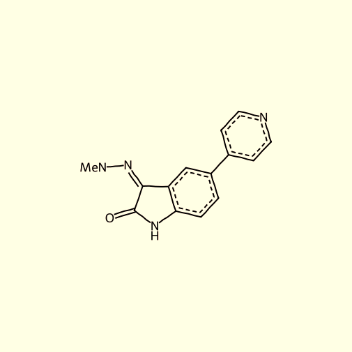 CNN=C1C(=O)Nc2ccc(-c3ccncc3)cc21